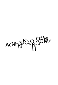 COc1ccc(NC(=O)C=C2CCN(C)C(c3cnc(NC(C)=O)s3)C2)cc1OC